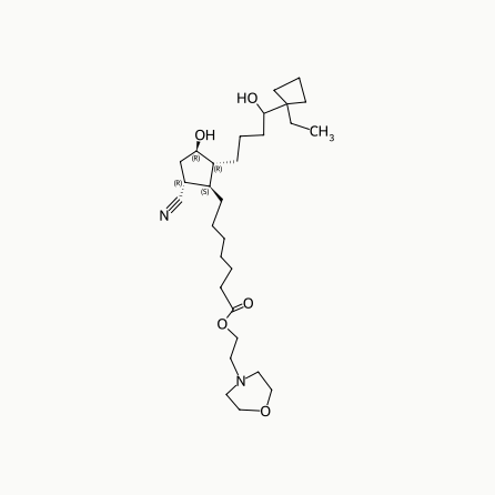 CCC1(C(O)CCC[C@@H]2[C@@H](CCCCCCC(=O)OCCN3CCOCC3)[C@H](C#N)C[C@H]2O)CCC1